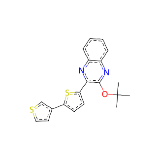 CC(C)(C)Oc1nc2ccccc2nc1-c1ccc(-c2ccsc2)s1